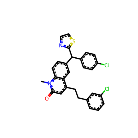 Cn1c(=O)cc(CCc2cccc(Cl)c2)c2cc(C(c3ccc(Cl)cc3)c3nccs3)ccc21